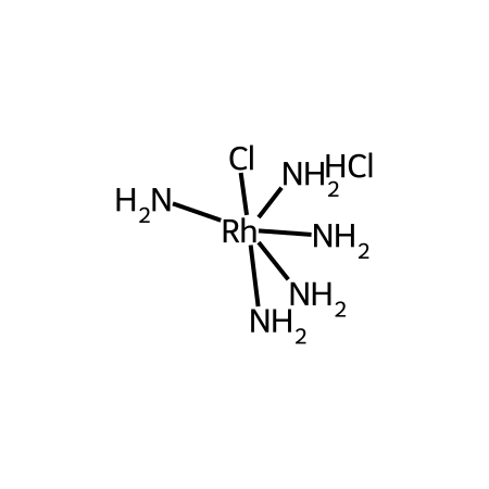 Cl.[NH2][Rh]([NH2])([NH2])([NH2])([NH2])[Cl]